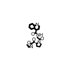 O=C(NCC(=O)N1CCC[C@H]1C(=O)c1ncco1)c1ccnc2ccccc12